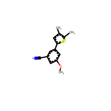 COc1cc(C#N)cc(-c2cc(C)c(C)s2)c1